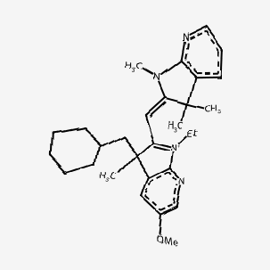 CC[N+]1=C(C=C2N(C)c3ncccc3C2(C)C)C(C)(CC2CCCCC2)c2cc(OC)cnc21